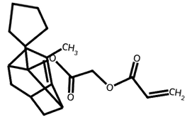 C=CC(=O)OCC(=O)OC1(C2CCCC2)C2CC(C)=C3C(C2)CC31